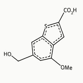 COc1cc(CO)cc2sc(C(=O)O)cc12